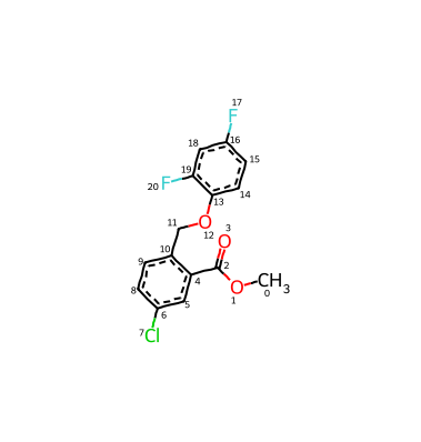 COC(=O)c1cc(Cl)ccc1COc1ccc(F)cc1F